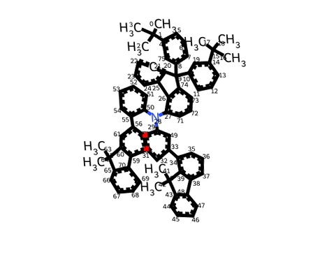 CC(C)(C)c1cccc(C2(c3cccc(C(C)(C)C)c3)c3ccccc3-c3c(N(c4cccc(-c5cccc6c5C(C)(C)c5ccccc5-6)c4)c4ccccc4-c4ccc5c(c4)C(C)(C)c4ccccc4-5)cccc32)c1